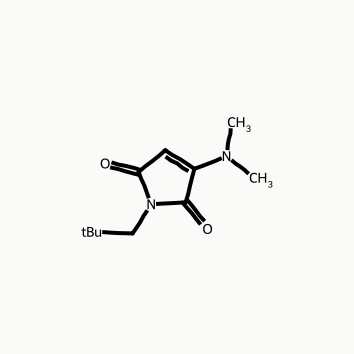 CN(C)C1=CC(=O)N(CC(C)(C)C)C1=O